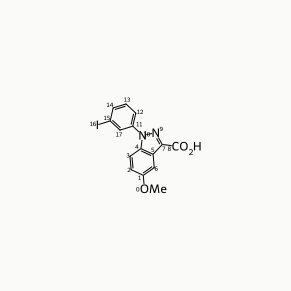 COc1ccc2c(c1)c(C(=O)O)nn2-c1cccc(I)c1